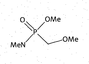 CNP(=O)(COC)OC